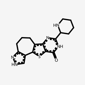 O=c1[nH]c(C2CCCCN2)nc2c3c(sc12)-c1c[nH]nc1CCC3